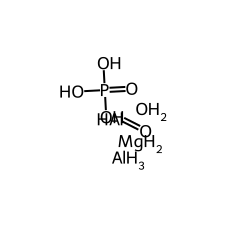 O.O=P(O)(O)O.[AlH3].[MgH2].[O]=[AlH]